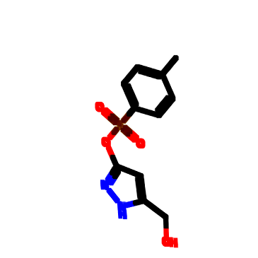 Cc1ccc(S(=O)(=O)Oc2cc(CO)[nH]n2)cc1